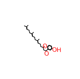 CC(C)=CCC/C(C)=C/CC/C(C)=C/CCC1CC(=O)c2cc(O)ccc2O1